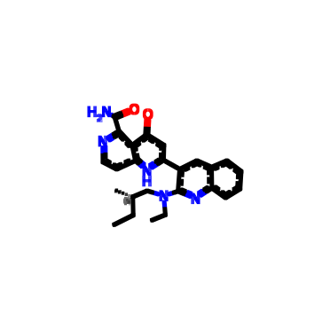 CC[C@H](C)CN(CC)c1nc2ccccc2cc1-c1cc(=O)c2c(C(N)=O)nccc2[nH]1